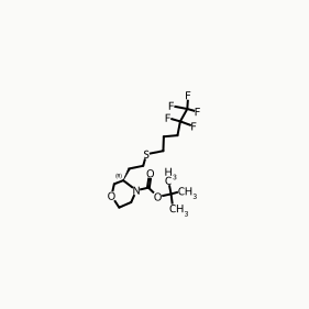 CC(C)(C)OC(=O)N1CCOC[C@H]1CCSCCCC(F)(F)C(F)(F)F